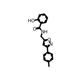 Cc1ccc(-c2cc(CNC(=O)c3ccccc3O)on2)cc1